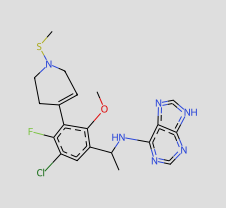 COc1c(C(C)Nc2ncnc3[nH]cnc23)cc(Cl)c(F)c1C1=CCN(SC)CC1